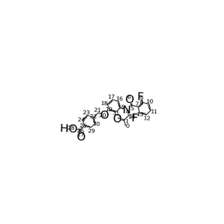 CC(=O)CN(C(=O)c1c(F)cccc1F)c1cccc(OCc2ccc(C(=O)O)cc2)c1